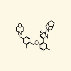 Cc1ccc(OCc2ccc(CN3CCOCC3)cc2C)c(-c2csc(N3CC4CCC(C3)C4C)n2)c1